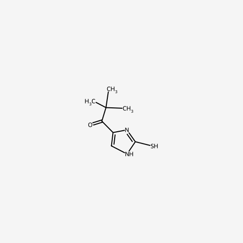 CC(C)(C)C(=O)c1c[nH]c(S)n1